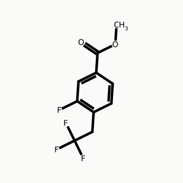 COC(=O)c1ccc(CC(F)(F)F)c(F)c1